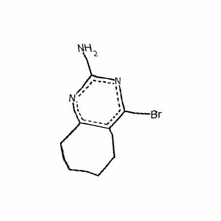 Nc1nc(Br)c2c(n1)CCCC2